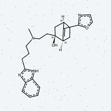 CN(CCCc1nc2ccccc2[nH]1)CC[C@]1(O)C[C@H]2CC[C@@H]1C=C2c1ncco1